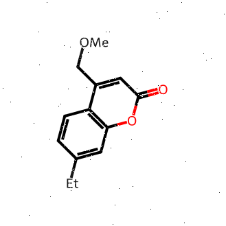 CCc1ccc2c(COC)cc(=O)oc2c1